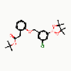 CC(C)(C)OC(=O)Cc1ccccc1OCc1cc(Cl)cc(B2OC(C)(C)C(C)(C)O2)c1